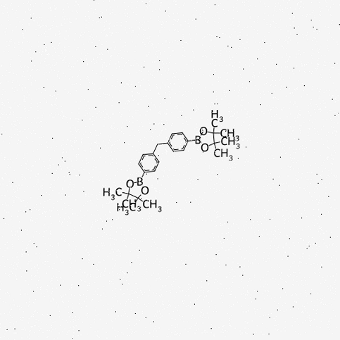 CC1(C)OB(c2ccc(Cc3ccc(B4OC(C)(C)C(C)(C)O4)cc3)cc2)OC1(C)C